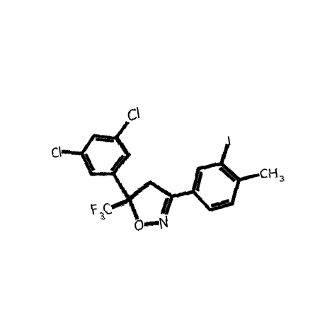 Cc1ccc(C2=NOC(c3cc(Cl)cc(Cl)c3)(C(F)(F)F)C2)cc1I